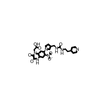 O=C(O)Cn1c(=O)c(=O)[nH]c2cc([N+](=O)[O-])c(-n3ccc(CNC(=O)NCCc4ccncc4)c3)cc21